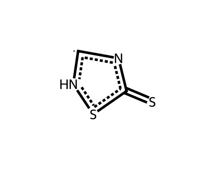 S=c1n[c][nH]s1